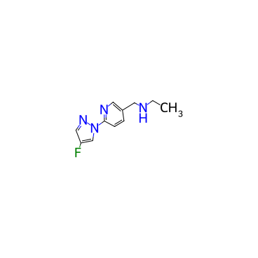 CCNCc1ccc(-n2cc(F)cn2)nc1